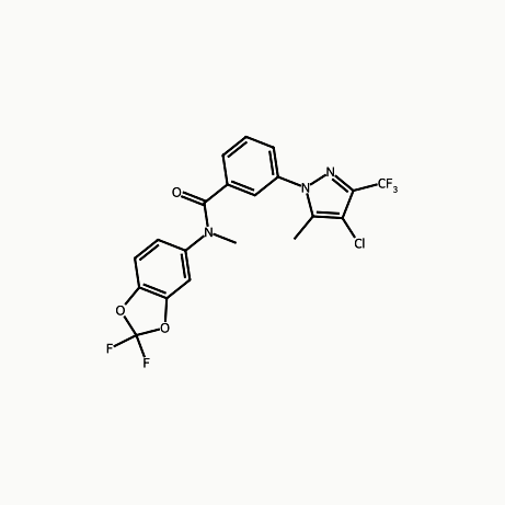 Cc1c(Cl)c(C(F)(F)F)nn1-c1cccc(C(=O)N(C)c2ccc3c(c2)OC(F)(F)O3)c1